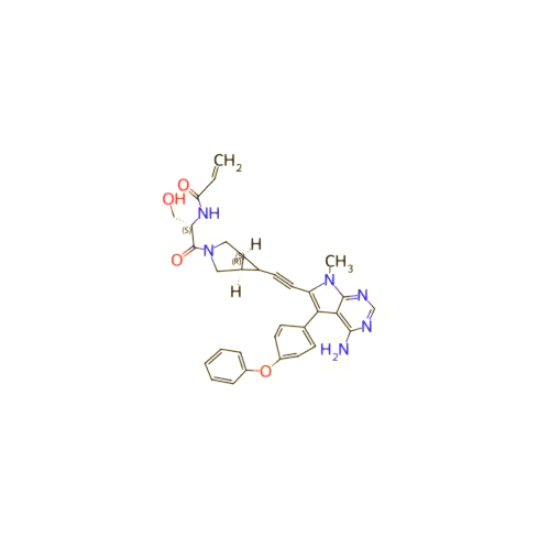 C=CC(=O)N[C@@H](CO)C(=O)N1C[C@@H]2C(C#Cc3c(-c4ccc(Oc5ccccc5)cc4)c4c(N)ncnc4n3C)[C@@H]2C1